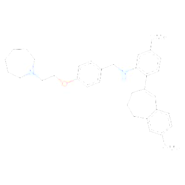 COc1ccc2c(c1)CCCC(c1ccc(OC)cc1NCc1ccc(OCCN3CCCCCC3)cc1)=C2